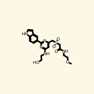 COCCNC(=O)CS(=O)(=O)Cc1cc(NCCO)nc(-c2ccc3[nH]ccc3c2)n1